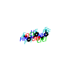 O=C(Nc1cc(NC(O)c2cc(NC(=O)[C@H]3[C@H](c4ccc(F)c(C(F)(F)F)c4)C3(Cl)Cl)cc(F)c2Cl)c(F)cc1F)C(F)F